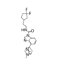 CN1CC2CCC1CN2c1cccc2c1ncn2C(=O)NCCC1CCC(F)(F)C1